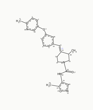 Cc1ccc(Oc2cccc(/C=C3\CCN(C(=O)Nc4cnoc4C)CC3C)c2)cn1